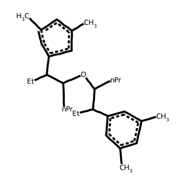 CCCC(OC(CCC)C(CC)c1cc(C)cc(C)c1)C(CC)c1cc(C)cc(C)c1